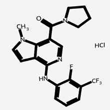 Cl.Cn1ccc2c(Nc3cccc(C(F)(F)F)c3F)ncc(C(=O)N3CCCC3)c21